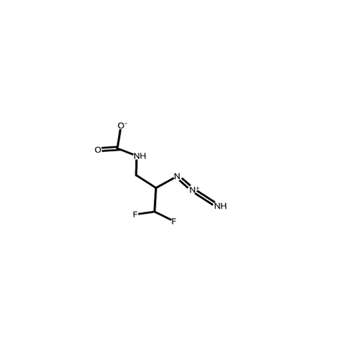 N=[N+]=NC(CNC(=O)[O-])C(F)F